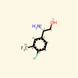 N[C@H](CO)c1ccc(F)c(C(F)(F)F)c1